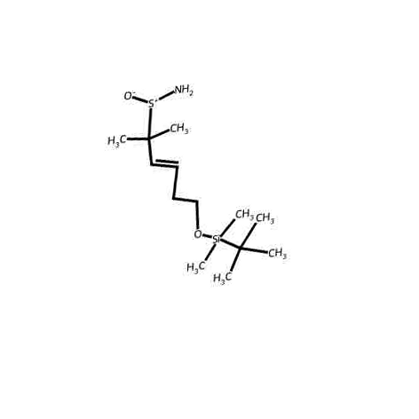 CC(C)(C=CCCO[Si](C)(C)C(C)(C)C)[S+](N)[O-]